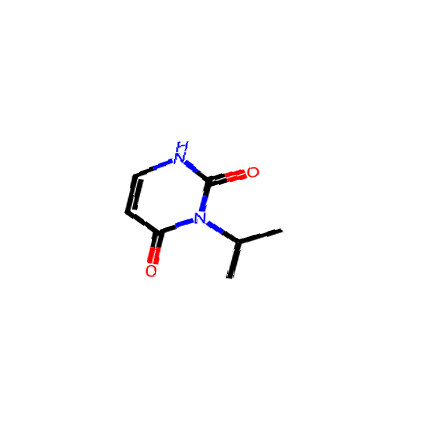 CC(C)n1c(=O)cc[nH]c1=O